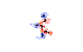 CO[C@H]1[C@@H](O[P@@](O)(=S)OC[C@H]2O[C@@H](n3cnc4c(N)ncnc43)[C@H](O)[C@@H]2O)[C@H](n2cnc3c(N)ncnc32)O[C@@H]1CO[P@@](O)(=S)O[C@@H]1[C@H](OC)[C@@H](CCP(=O)(OC)OC)O[C@H]1n1cnc2c(N)ncnc21